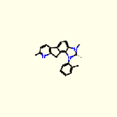 Cc1ccc2c(n1)Cc1c-2ccc2c1N(c1ccccc1C)[C@@H](C)N2C